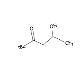 CC(C)(C)C(=O)CC(O)C(F)(F)F